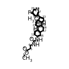 CCOC(=O)CCNC(=O)Nc1ccc2c(c1)CC[C@@H]1[C@@H]2CC[C@]2(C)C(c3cncc(F)c3)=CC[C@@H]12